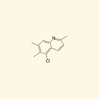 Cc1ccc2c(Cl)c(C)c(C)cc2n1